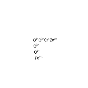 [Cr+3].[Fe+3].[O-2].[O-2].[O-2].[O-2].[Zn+2]